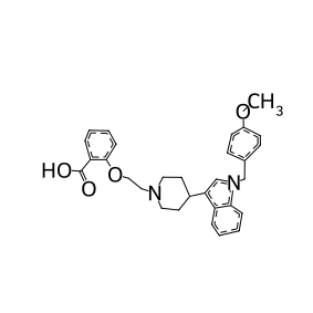 COc1ccc(Cn2cc(C3CCN(CCOc4ccccc4C(=O)O)CC3)c3ccccc32)cc1